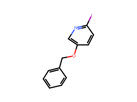 Ic1ccc(OCc2ccccc2)cn1